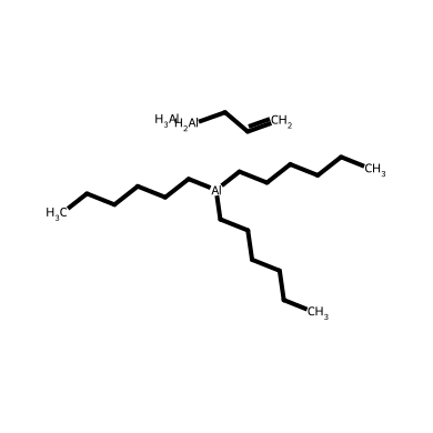 C=C[CH2][AlH2].CCCCC[CH2][Al]([CH2]CCCCC)[CH2]CCCCC.[AlH3]